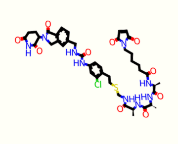 C[C@H](NC(=O)CCCCCN1C(=O)C=CC1=O)C(=O)N[C@H](C)C(=O)N[C@@H](C)C(=O)NCSCCc1ccc(NC(=O)NCc2ccc3c(c2)CN(C2CCC(=O)NC2=O)C3=O)cc1Cl